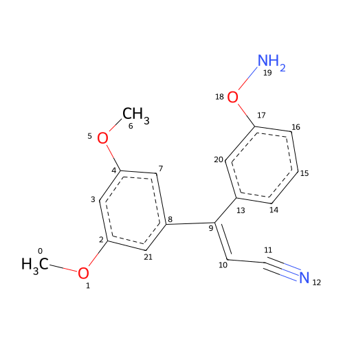 COc1cc(OC)cc(C(=CC#N)c2cccc(ON)c2)c1